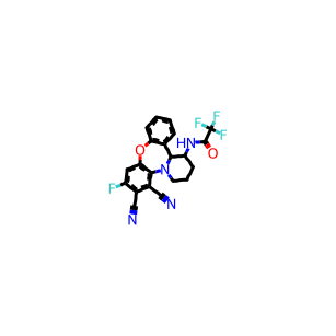 N#Cc1c(F)cc2c(c1C#N)N1CCCC(NC(=O)C(F)(F)F)C1c1ccccc1O2